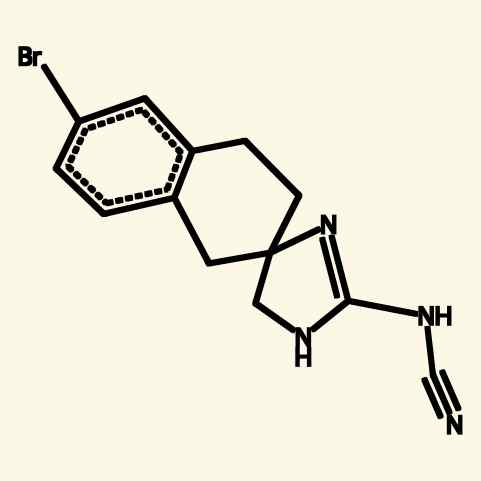 N#CNC1=NC2(CCc3cc(Br)ccc3C2)CN1